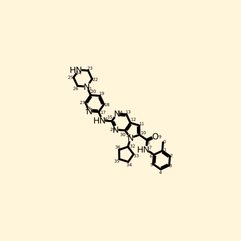 Cc1ccccc1NC(=O)c1cc2cnc(Nc3ccc(N4CCNCC4)cn3)nc2n1C1CCCC1